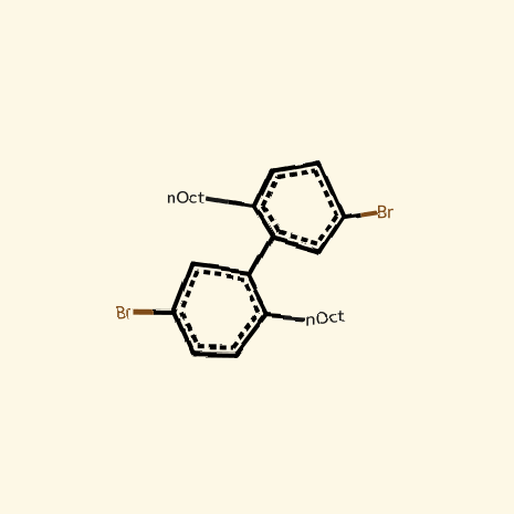 CCCCCCCCc1ccc(Br)cc1-c1cc(Br)ccc1CCCCCCCC